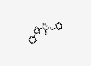 NC(C(=O)OCc1ccccc1)c1nc(-c2ccccc2)co1